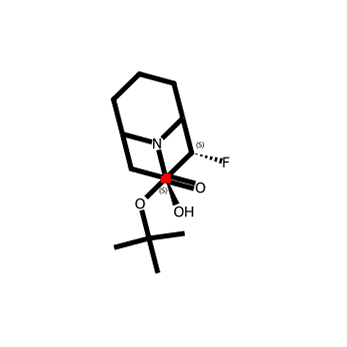 CC(C)(C)OC(=O)N1C2CCCC1[C@H](F)[C@@H](O)C2